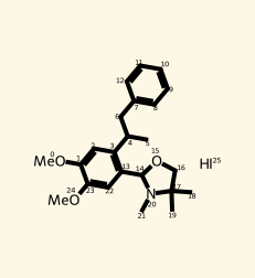 COc1cc(C(C)Cc2ccccc2)c(C2OCC(C)(C)N2C)cc1OC.I